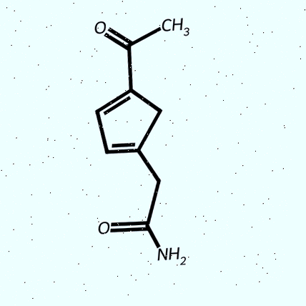 CC(=O)C1=CC=C(CC(N)=O)C1